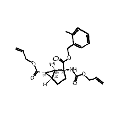 C=CCOC(=O)N[C@@]1(C(=O)OCc2ccccc2C)CC[C@H]2[C@H](C(=O)OCC=C)[C@H]21